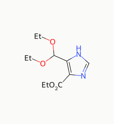 CCOC(=O)c1nc[nH]c1C(OCC)OCC